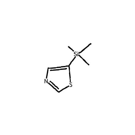 C[Si](C)(C)c1cncs1